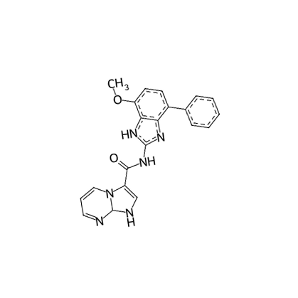 COc1ccc(-c2ccccc2)c2nc(NC(=O)C3=CNC4N=CC=CN34)[nH]c12